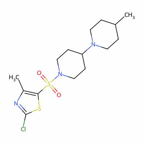 Cc1nc(Cl)sc1S(=O)(=O)N1CCC(N2CCC(C)CC2)CC1